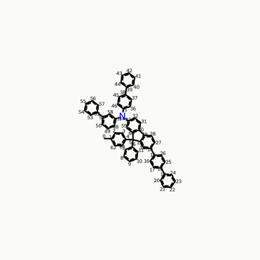 Cc1ccc(C2(c3ccccc3)c3cc(-c4ccc(-c5ccccc5)cc4)ccc3-c3ccc(N(c4ccc(-c5ccccc5)cc4)c4cccc(-c5ccccc5)c4)cc32)cc1